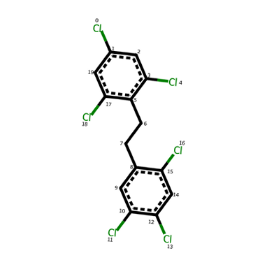 Clc1cc(Cl)c(CCc2cc(Cl)c(Cl)cc2Cl)c(Cl)c1